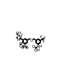 COc1c(-c2ncn(C)n2)cc(COCc2cc(NC(=O)O)cc(C(F)(F)F)c2)cc1[N+](=O)[O-]